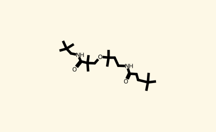 CC(C)(C)CCC(=O)NCCC(C)(C)OCC(C)(C)C(=O)NCC(C)(C)C